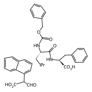 CC(C)C[C@H](NC(=O)OCc1ccccc1)C(=O)N[C@@H](Cc1ccccc1)C(=O)O.O=CC(C(=O)O)c1cccc2ccccc12